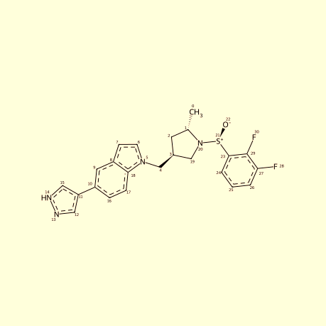 C[C@H]1C[C@H](Cn2ccc3cc(-c4cn[nH]c4)ccc32)CN1[S@@+]([O-])c1cccc(F)c1F